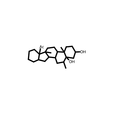 CC(=O)C12CCCCC1CC1C3CC(C)C4(O)CC(O)CCC4(C)C3CCC12C